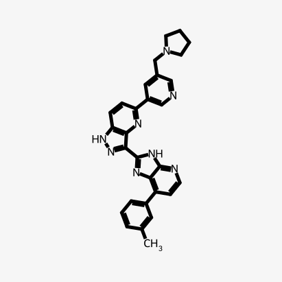 Cc1cccc(-c2ccnc3[nH]c(-c4n[nH]c5ccc(-c6cncc(CN7CCCC7)c6)nc45)nc23)c1